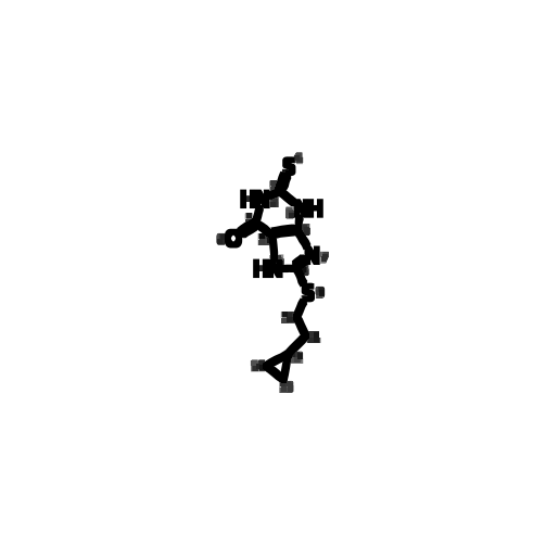 O=c1[nH]c(=S)[nH]c2nc(SCCC3CC3)[nH]c12